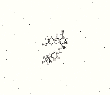 CC1(C)C[C@H](Nc2nc(NCCc3ccc(S(=O)(=O)C(C)(F)F)cc3)ncc2C#N)CC[C@@H]1O